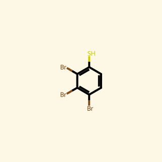 Sc1ccc(Br)c(Br)c1Br